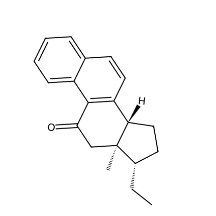 CC[C@H]1CC[C@H]2c3ccc4ccccc4c3C(=O)C[C@]12C